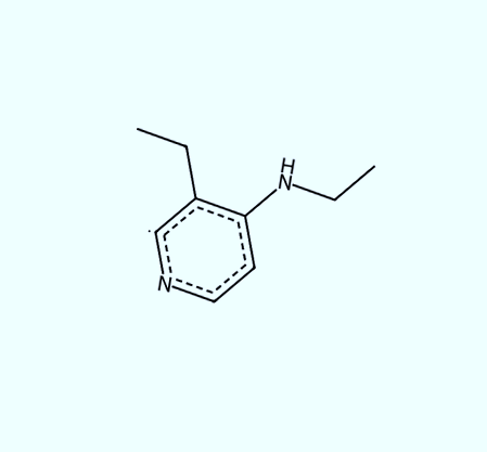 CCNc1ccn[c]c1CC